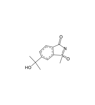 CC(C)(O)c1ccc2c(c1)S(C)(=O)=NC2=O